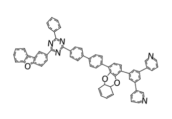 C1=CC2Oc3c(-c4ccc(-c5ccc(-c6nc(-c7ccccc7)nc(-c7ccc8oc9ccccc9c8c7)n6)cc5)cc4)ccc(-c4cc(-c5cccnc5)cc(-c5cccnc5)c4)c3OC2C=C1